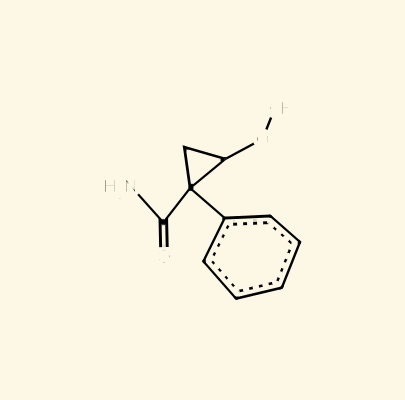 NC(=O)C1(c2ccccc2)CC1OC(F)(F)F